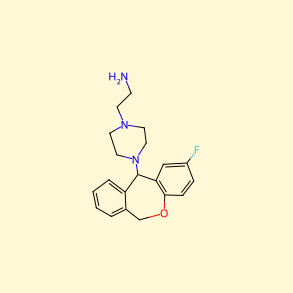 NCCN1CCN(C2c3ccccc3COc3ccc(F)cc32)CC1